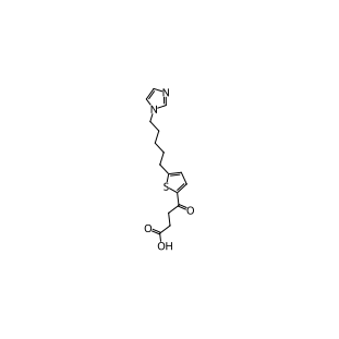 O=C(O)CCC(=O)c1ccc(CCCCCn2ccnc2)s1